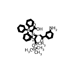 C[C@@H](O[Si](C)(C)C)[C@H]1C(=O)N(C(C(=O)O)=P(c2ccccc2)(c2ccccc2)c2ccccc2)[C@@H]1CC(=O)c1cccc(N)c1